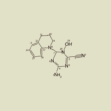 N#CC1=NC(N)=NC(N2CCCc3ccccc32)N1O